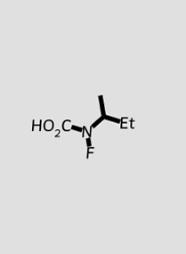 CCC(C)N(F)C(=O)O